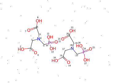 O=C(O)CN(CC(=O)O)CP(=O)(O)O.O=C(O)CN(CC(=O)O)CP(=O)(O)O